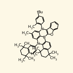 Cc1cc2c3c(c1)N(c1ccc(C(C)(C)C)cc1C)c1c(oc4ccccc14)B3c1ccc3c(c1N2c1ccc2c(c1)C(C)(C)CCC2(C)C)C(C)(C)CCC3(C)C